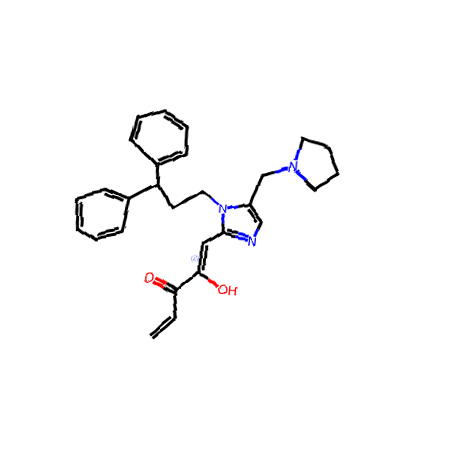 C=CC(=O)/C(O)=C/c1ncc(CN2CCCC2)n1CCC(c1ccccc1)c1ccccc1